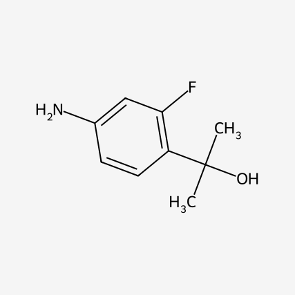 CC(C)(O)c1ccc(N)cc1F